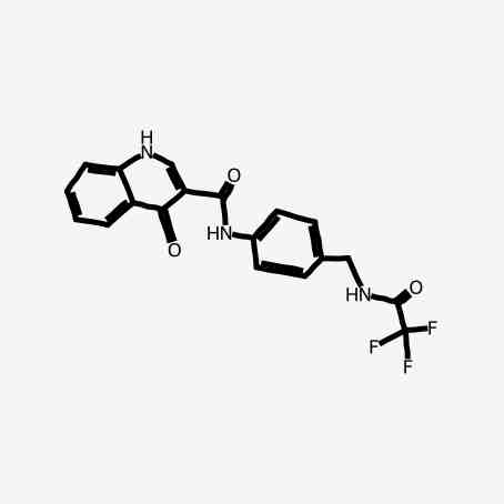 O=C(Nc1ccc(CNC(=O)C(F)(F)F)cc1)c1c[nH]c2ccccc2c1=O